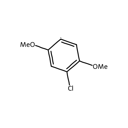 COc1[c]cc(OC)c(Cl)c1